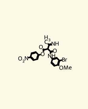 COc1ccc(NC(=O)C(C(C)=N)C(=O)Oc2ccc([N+](=O)[O-])cc2)cc1Br